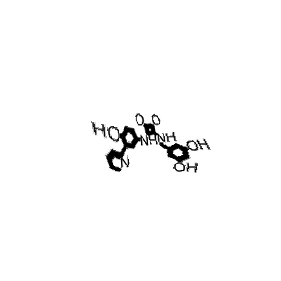 O=c1c(NCc2cc(O)cc(O)c2)c(Nc2ccc(O)c(-c3ccccn3)c2)c1=O